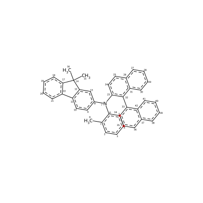 Cc1ccccc1N(c1ccc2c(c1)C(C)(C)c1ccccc1-2)c1ccc2ccccc2c1-c1cccc2ccccc12